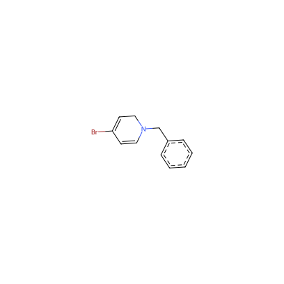 BrC1=CCN(Cc2ccccc2)C=C1